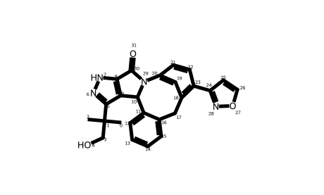 CC(C)(CO)c1n[nH]c2c1C1c3ccccc3Cc3cc(ccc3-c3ccon3)N1C2=O